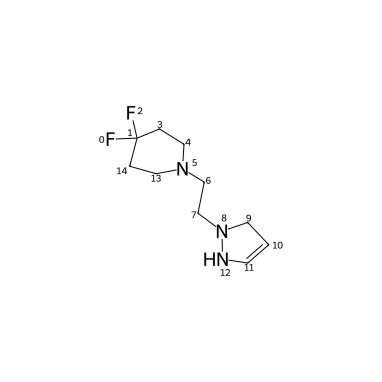 FC1(F)CCN(CCN2CC=CN2)CC1